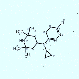 CC1(C)CC(N(C2=NN=C(Cl)CC2)C2CC2)CC(C)(C)N1